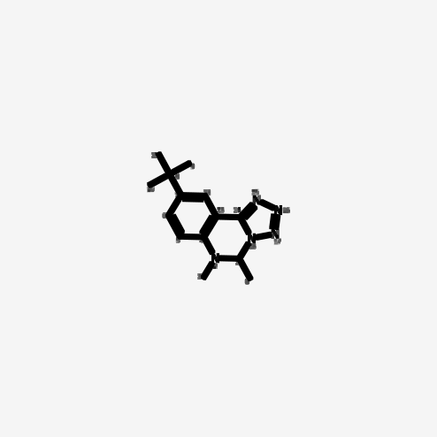 CC1N(C)c2ccc(C(C)(C)C)cc2-c2nnnn21